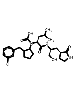 CC(C)C[C@@H](C(=O)N[C@H](CO)C[C@@H]1CCNC1=O)N(C(=O)O)C1CCCC1Cc1cccc(Cl)c1